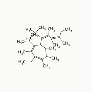 CCC1=C(C)C(C)C(C)C(/C(=C(C)\C(C)=C(\C)CC)C(C)(C)C)C(C(C)C)=C1C